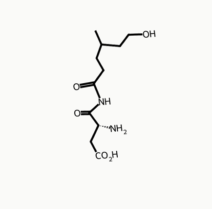 CC(CCO)CCC(=O)NC(=O)[C@H](N)CC(=O)O